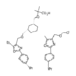 CCc1oc(-c2ccc(C(C)C)cc2)nc1COC[C@H]1CCC[C@@H](COC(C)(C)C(=O)O)C1.Cc1oc(-c2ccc(C(C)C)cc2)nc1COCCl